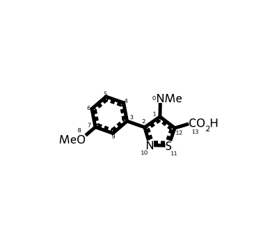 CNc1c(-c2cccc(OC)c2)nsc1C(=O)O